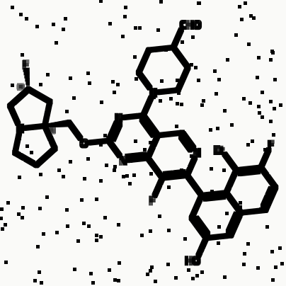 CCc1c(F)ccc2cc(O)cc(-c3ncc4c(N5CCC(C=O)CC5)nc(OC[C@@]56CCCN5C[C@H](F)C6)nc4c3F)c12